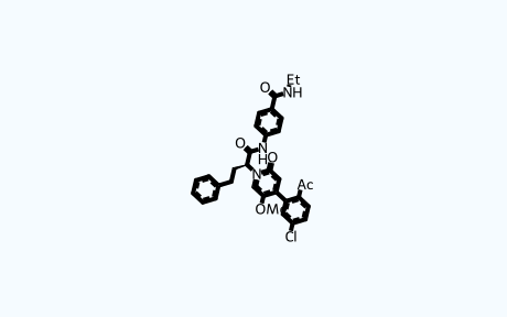 CCNC(=O)c1ccc(NC(=O)[C@H](CCc2ccccc2)n2cc(OC)c(-c3cc(Cl)ccc3C(C)=O)cc2=O)cc1